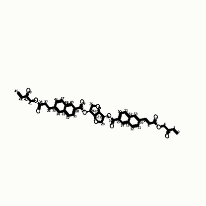 C=CC(=O)COC(=O)/C=C/c1ccc2cc(C(=O)O[C@@H]3COC4C3OC[C@@H]4OC(=O)c3ccc4cc(CCC(=O)OCC(=O)C=C)ccc4c3)ccc2c1